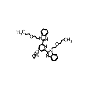 CCCOCCn1c(-c2cccc(-c3nc4ccccc4n3CCOCCC)n2)nc2ccccc21.[Cl-].[Cl-].[Cl-].[V+3]